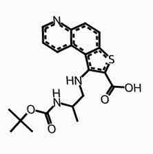 CC(CNc1c(C(=O)O)sc2ccc3ncccc3c12)NC(=O)OC(C)(C)C